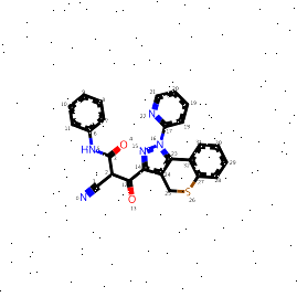 N#CC(C(=O)Nc1ccccc1)C(=O)c1nn(-c2ccccn2)c2c1CSc1ccccc1-2